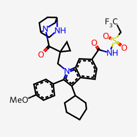 COc1ccc(-c2c(C3CCCCC3)c3ccc(C(=O)NS(=O)(=O)CC(F)(F)F)cc3n2CC2(C(=O)N3CC4CCC3CN4)CC2)cc1